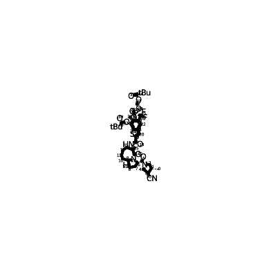 C[C@H]1CN(C(=O)[C@@H]2CC[C@@H]3CCCC[C@](C)(NC(=O)c4cc5cc(C(F)(F)P(=O)(OCOC(=O)C(C)(C)C)OCOC(=O)C(C)(C)C)ccc5s4)C(=O)N32)CC1C#N